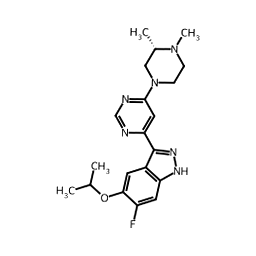 CC(C)Oc1cc2c(-c3cc(N4CCN(C)[C@@H](C)C4)ncn3)n[nH]c2cc1F